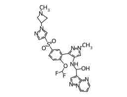 CN1CC(n2cc(S(=O)(=O)c3ccc(OC(F)F)c(-c4nn(C)cc4NC(O)c4cnn5cccnc45)c3)cn2)C1